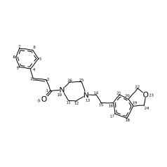 O=C(/C=C/c1ccccc1)N1CCN(CCc2ccc3c(c2)COC3)CC1